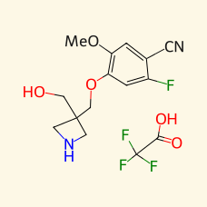 COc1cc(C#N)c(F)cc1OCC1(CO)CNC1.O=C(O)C(F)(F)F